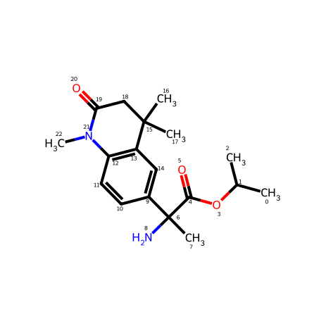 CC(C)OC(=O)C(C)(N)c1ccc2c(c1)C(C)(C)CC(=O)N2C